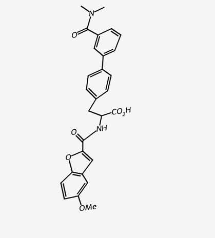 COc1ccc2oc(C(=O)NC(Cc3ccc(-c4cccc(C(=O)N(C)C)c4)cc3)C(=O)O)cc2c1